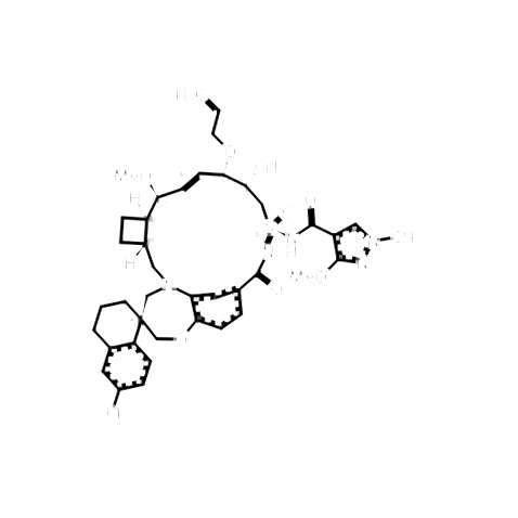 C=CCO[C@H]1/C=C/[C@H](OC)[C@@H]2CC[C@H]2CN2C[C@@]3(CCCc4cc(Cl)ccc43)COc3ccc(cc32)C(=O)N=[S@](=O)(NC(=O)c2cn(C)nc2OC)C[C@H]1C